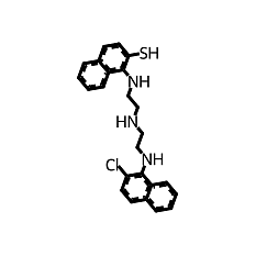 Sc1ccc2ccccc2c1NCCNCCNc1c(Cl)ccc2ccccc12